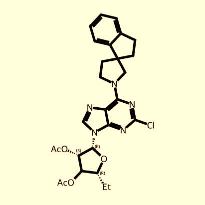 CC[C@H]1O[C@@H](n2cnc3c(N4CCC5(CCc6ccccc65)C4)nc(Cl)nc32)[C@@H](OC(C)=O)C1OC(C)=O